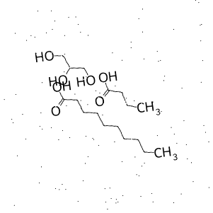 CCCC(=O)O.CCCCCCCCCC(=O)O.OCC(O)CO